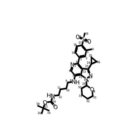 Cc1cc(-c2ncc(NCCCCNC(=O)OC(C)(C)C)c3c2c(C2CC2)nn3C2CCCCO2)ccc1S(C)(=O)=O